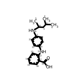 CC(C)CC(C)Nc1ccc(Nc2ccccc2C(=O)O)cc1